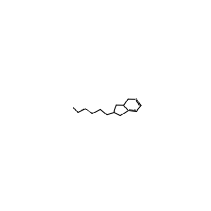 CCCCCCC1CC2=CC=CCC2C1